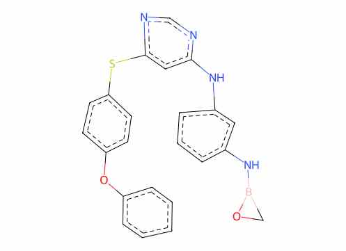 c1ccc(Oc2ccc(Sc3cc(Nc4cccc(NB5CO5)c4)ncn3)cc2)cc1